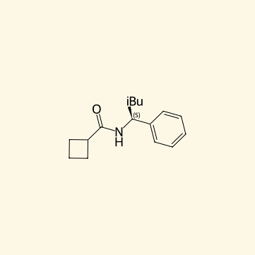 CCC(C)[C@H](NC(=O)C1CCC1)c1ccccc1